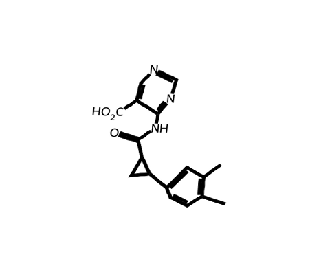 Cc1ccc(C2CC2C(=O)Nc2ncncc2C(=O)O)cc1C